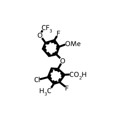 COc1c(Oc2cc(Cl)c(C)c(F)c2C(=O)O)ccc(OC(F)(F)F)c1F